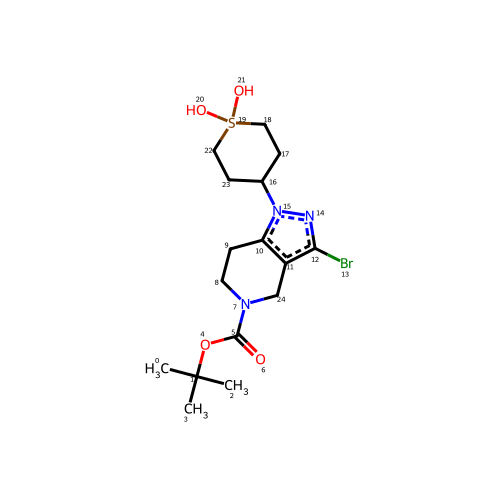 CC(C)(C)OC(=O)N1CCc2c(c(Br)nn2C2CCS(O)(O)CC2)C1